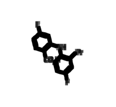 CC(C)c1cc(F)ccc1Nc1cc(F)ccc1C(=O)O